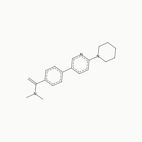 C=C(c1ccc(-c2ccc(N3CCCCC3)nc2)cc1)N(C)C